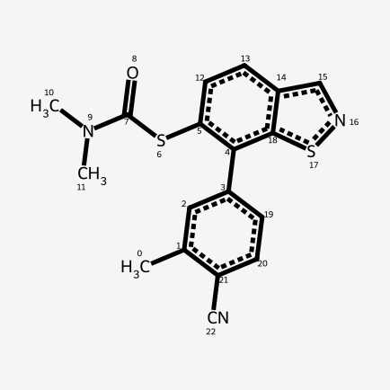 Cc1cc(-c2c(SC(=O)N(C)C)ccc3cnsc23)ccc1C#N